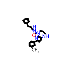 O=C(NCCCc1ccccc1)N1CCCNc2ccc(-c3cccc(C(F)(F)F)c3)nc21